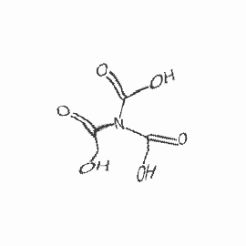 O=C(O)N(C(=O)O)C(=O)O